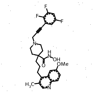 COc1ccc2ncc(C)c(CCCC3(C(=O)NO)CCN(CC#Cc4cc(F)cc(F)c4F)CC3)c2c1